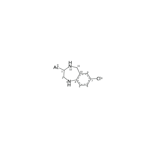 CC(=O)C1CNc2ccc(Cl)cc2CN1